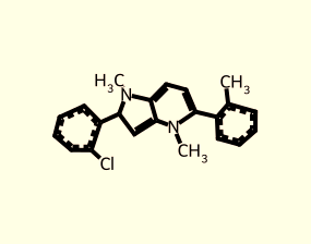 Cc1ccccc1C1=CC=C2C(=CC(c3ccccc3Cl)N2C)N1C